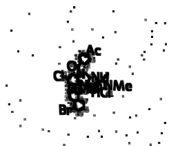 CN[C@@H](C)C(=O)N[C@H]1CN(C(=O)c2ccc(C(C)=O)cc2)c2cc(Cl)ccc2N(Cc2c(OC)ccc3c(Br)cccc23)C1=O.Cl